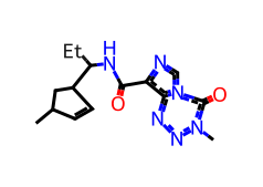 CCC(NC(=O)c1ncn2c(=O)n(C)nnc12)C1C=CC(C)C1